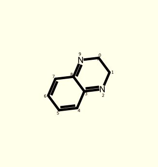 [C]1CN=c2ccccc2=N1